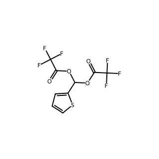 O=C(OC(OC(=O)C(F)(F)F)c1cccs1)C(F)(F)F